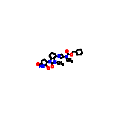 CN(C(=O)OCc1ccccc1)C1CN(c2cccc3c2n(C)c(=O)n3C2CCC(=O)NC2=O)C1